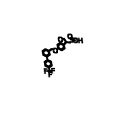 O=S(O)CC1COc2cc(OCc3cccc(-c4ccc(C(F)(F)F)cc4)c3)ccc21